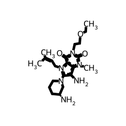 CCOCCn1c(=O)c2c(c(N)c(N3CCC[C@H](N)C3)n2CC=C(C)C)n(C)c1=O